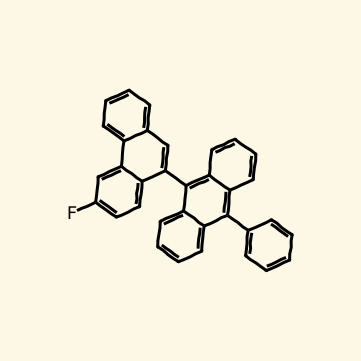 Fc1ccc2c(-c3c4ccccc4c(-c4ccccc4)c4ccccc34)cc3ccccc3c2c1